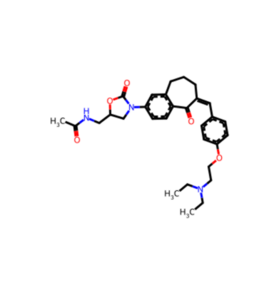 CCN(CC)CCOc1ccc(/C=C2/CCCc3cc(N4CC(CNC(C)=O)OC4=O)ccc3C2=O)cc1